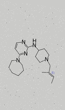 C/C=C(\C)CN1CCC(Nc2nccc(N3CCCCCC3)n2)CC1